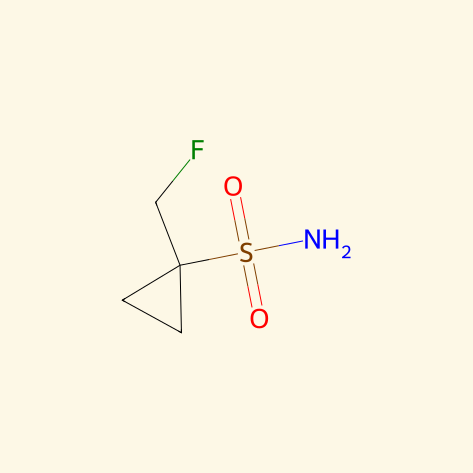 NS(=O)(=O)C1(CF)CC1